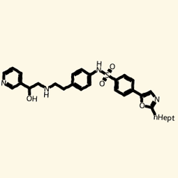 CCCCCCCc1ncc(-c2ccc(S(=O)(=O)Nc3ccc(CCNCC(O)c4cccnc4)cc3)cc2)o1